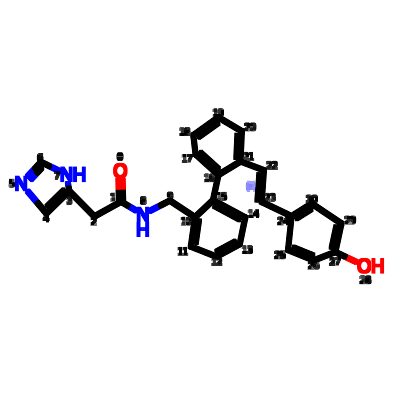 O=C(Cc1cnc[nH]1)NCc1ccccc1-c1ccccc1/C=C/c1ccc(O)cc1